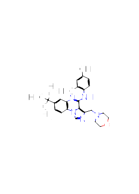 Cc1ccc(Nc2nc3cc(C(C)(C)C)ccc3n3cnc(CN4CCOCC4)c23)c(C)c1